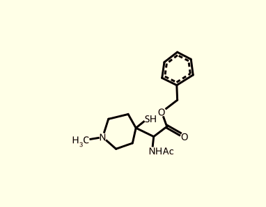 CC(=O)NC(C(=O)OCc1ccccc1)C1(S)CCN(C)CC1